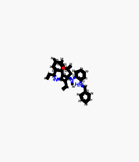 C=CC1=NC2C(C=C)C(CC(=C)/C=C\C)(N(C)c3ccccc3NCc3ccccc3)C2c2ccc(C)cc21